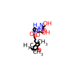 CC1=C(CCCOC(=O)[C@@H]2CCCN2C(=O)C(CO)NC(=O)[C@@H](N)CO)C2=C(C)C3(CC3)[C@H](C)C(=O)C2=C1